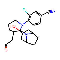 N#Cc1ccc(N2CCCC(CC=O)C2N2C3CCC2CC(O)C3)c(F)c1